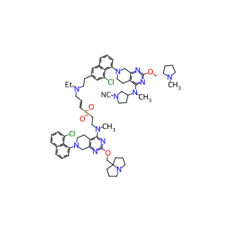 CCN(C/C=C/S(=O)(=O)CCN(C)c1nc(OCC23CCCN2CCC3)nc2c1CCN(c1cccc3cccc(Cl)c13)C2)CCc1cc(Cl)c2c(N3CCc4c(nc(OC[C@@H]5CCCN5C)nc4N(C)C4CCN(C#N)C4)C3)cccc2c1